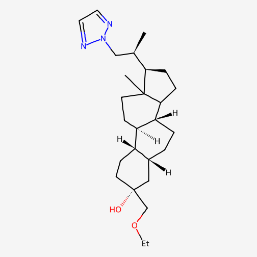 CCOC[C@@]1(O)CC[C@H]2[C@H](CC[C@H]3C4CC[C@H]([C@H](C)Cn5nccn5)C4(C)CC[C@H]23)C1